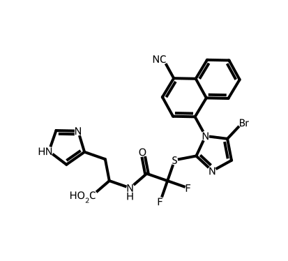 N#Cc1ccc(-n2c(Br)cnc2SC(F)(F)C(=O)NC(Cc2c[nH]cn2)C(=O)O)c2ccccc12